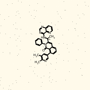 Cc1cc(-c2cccc3cc([C@H](C)Nc4ncnc5cccnc45)n(-c4ccccc4)c(=O)c23)cnc1C